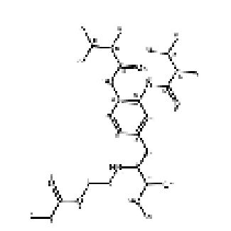 CCC(=O)OCCN[C@@H](Cc1ccc(OC(=O)C(C)C(C)C)c(OC(=O)C(C)C(C)C)c1)C(=O)OC